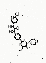 CCc1nc(-c2ccc(NC(=O)Nc3ccc(Cl)nc3)cc2)nc(N2CCOCC2)c1C